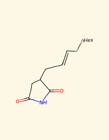 CCCCCCC/C=C/CC1CC(=O)NC1=O